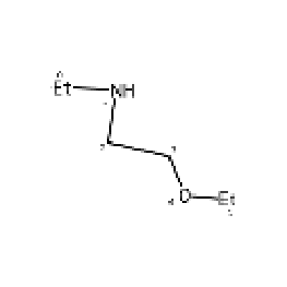 C[CH]NCCOCC